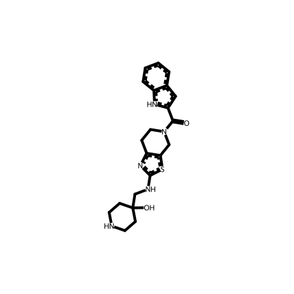 O=C(c1cc2ccccc2[nH]1)N1CCc2nc(NCC3(O)CCNCC3)sc2C1